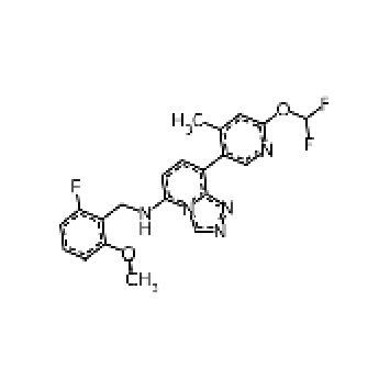 COc1cccc(F)c1CNc1ccc(-c2cnc(OC(F)F)cc2C)c2nncn12